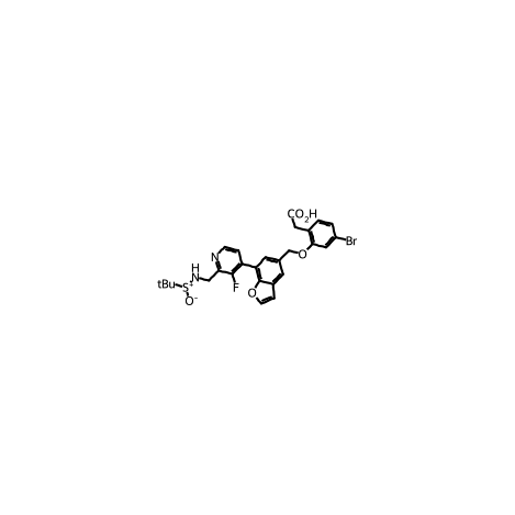 CC(C)(C)[S+]([O-])NCc1nccc(-c2cc(COc3cc(Br)ccc3CC(=O)O)cc3ccoc23)c1F